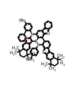 CC(C)(C)c1ccc(N2B3c4c(cc5c(oc6ccccc65)c4-c4ccc5c(sc6cc7c(cc65)C(C)(C)CCC7(C)C)c42)N(c2ccc(C(C)(C)C)cc2-c2ccccc2)c2sc4cc5c(cc4c23)C(C)(C)CCC5(C)C)cc1